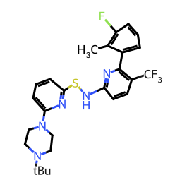 Cc1c(F)cccc1-c1nc(NSc2cccc(N3CCN(C(C)(C)C)CC3)n2)ccc1C(F)(F)F